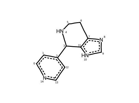 c1cc(C2NCCc3nc[nH]c32)ccn1